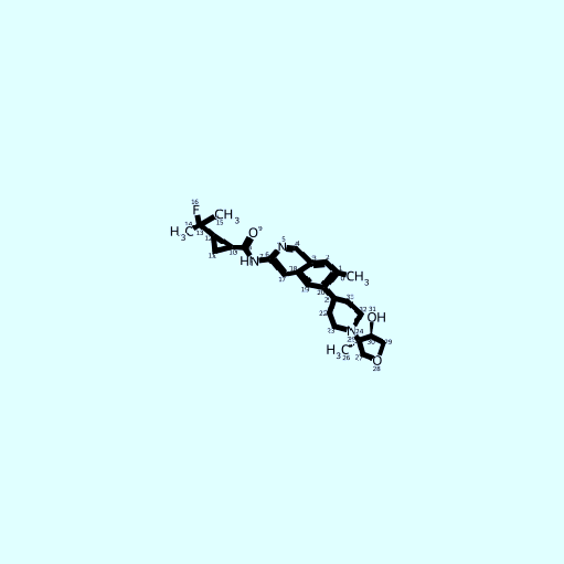 Cc1cc2cnc(NC(=O)C3CC3C(C)(C)F)cc2cc1C1CCN([C@]2(C)COC[C@@H]2O)CC1